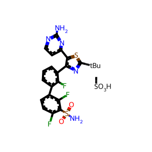 CC(C)(C)c1nc(-c2cccc(-c3ccc(F)c(S(N)(=O)=O)c3F)c2F)c(-c2ccnc(N)n2)s1.CS(=O)(=O)O